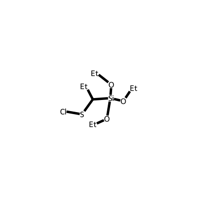 CCO[Si](OCC)(OCC)C(CC)SCl